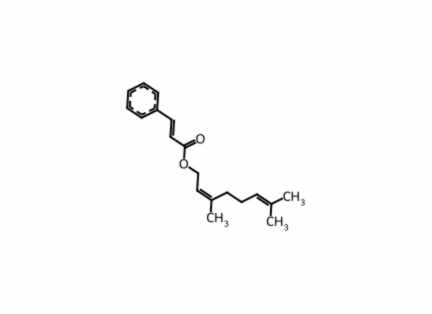 CC(C)=CCC/C(C)=C\COC(=O)/C=C/c1ccccc1